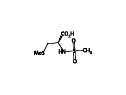 CSC[C@H](NS(C)(=O)=O)C(=O)O